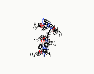 Cc1cc2nc3cc(C)c(N(CCCCCCCCN(C(=O)OC(C)(C)C)c4cc5c(cc4C)nc4cc(C)c(NC(=O)OC(C)(C)C)cc4[n+]5-c4ccccc4)C(=O)OC(C)(C)C)cc3[n+](-c3ccccc3)c2cc1NC(=O)OC(C)(C)C